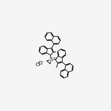 CC1=C(c2cccc3ccccc23)c2ccccc2[CH]1[Ti+2]1([CH]2C(C)=C(c3cccc4ccccc34)c3ccccc32)[CH2][CH2]1.[Cl-].[Cl-]